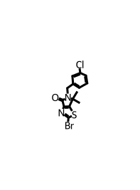 CC1(C)c2sc(Br)nc2C(=O)N1Cc1cccc(Cl)c1